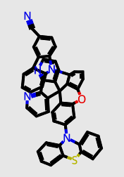 N#Cc1ccc2c(c1)c1ccccc1n2-c1cccc2c1C1(c3ccc(N4c5ccccc5Sc5ccccc54)cc3O2)c2cccnc2-c2ncccc21